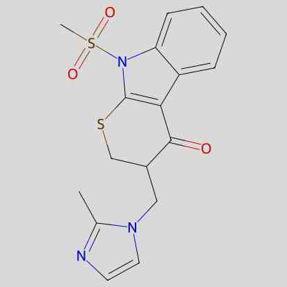 Cc1nccn1CC1CSc2c(c3ccccc3n2S(C)(=O)=O)C1=O